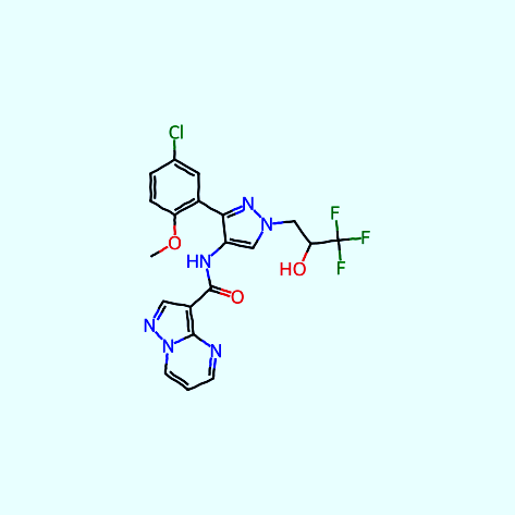 COc1ccc(Cl)cc1-c1nn(CC(O)C(F)(F)F)cc1NC(=O)c1cnn2cccnc12